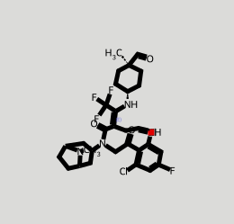 CN1C2CCC1CC(N(CC(=O)c1c(Cl)cc(F)cc1Cl)C(=O)/C(CC=N)=C(/N[C@H]1CC[C@](C)(C=O)CC1)C(F)(F)F)C2